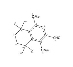 COc1cc(C=O)c(OC)c2c1C(C)(C)CCC2(C)C